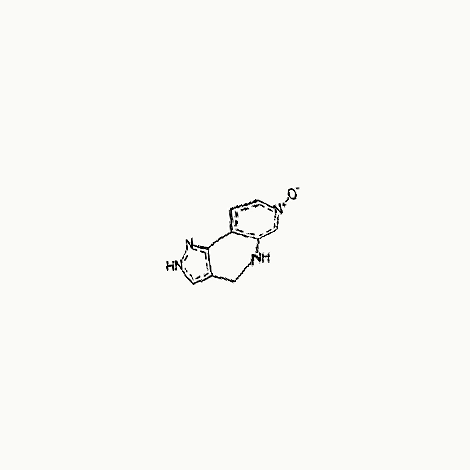 [O-][n+]1ccc2c(c1)NCc1c[nH]nc1-2